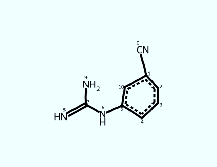 N#Cc1cccc(NC(=N)N)c1